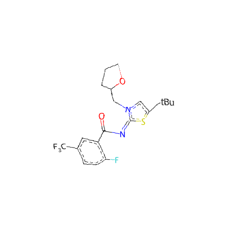 CC(C)(C)c1cn(CC2CCCO2)c(=NC(=O)c2cc(C(F)(F)F)ccc2F)s1